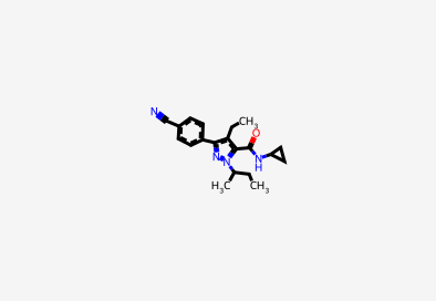 CCc1c(-c2ccc(C#N)cc2)nn(C(C)CC)c1C(=O)NC1CC1